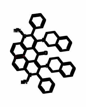 CCCN1c2ccncc2C(C(=O)C2=C(N3CCc4ccccc4C3)C(c3ccccc3)N(CCC)c3ccncc32)=C(N2CCc3ccccc3C2)C1c1ccccc1